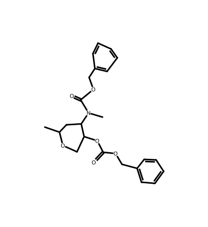 CC1CC(N(C)C(=O)OCc2ccccc2)C(OC(=O)OCc2ccccc2)CO1